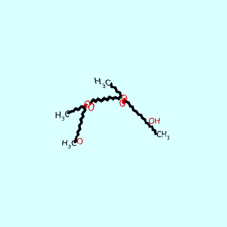 CCCCCCC(O)CCCCCCCCCCC(=O)OC(CCCCCC)CCCCCCCCCCC(=O)OC(CCCCCC)CCCCCCCCCCC(C)=O